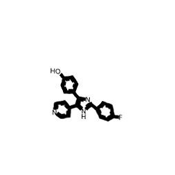 Oc1ccc(-c2nc(-c3ccc(F)cc3)[nH]c2-c2ccncc2)cc1